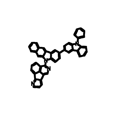 c1ccc(-n2c3ccccc3c3cc(-c4ccc5c(c4)c4cc6ccccc6cc4n5-c4ncc5c6c(cccc46)-c4ncccc4-5)ccc32)cc1